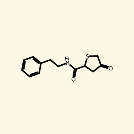 O=C1CSC(C(=O)NCCc2ccccc2)C1